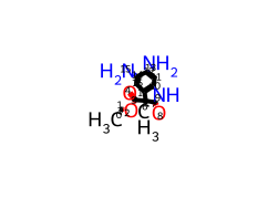 CCOC(=O)C1(C)C(=O)Nc2cc(N)c(N)cc21